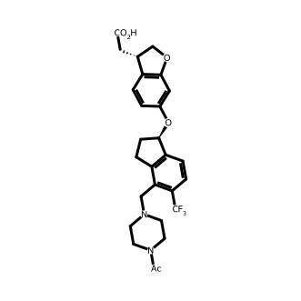 CC(=O)N1CCN(Cc2c(C(F)(F)F)ccc3c2CC[C@H]3Oc2ccc3c(c2)OC[C@H]3CC(=O)O)CC1